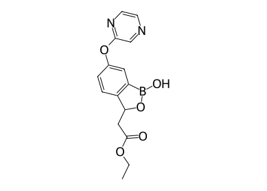 CCOC(=O)CC1OB(O)c2cc(Oc3cnccn3)ccc21